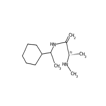 C=C(NC(C)C1CCCCC1)[C@H](C)NC